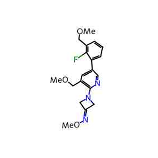 COCc1cc(-c2cccc(COC)c2F)cnc1N1CC(=NOC)C1